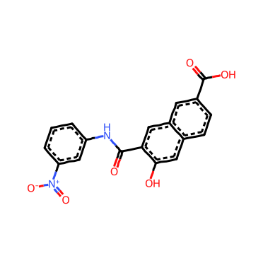 O=C(O)c1ccc2cc(O)c(C(=O)Nc3cccc([N+](=O)[O-])c3)cc2c1